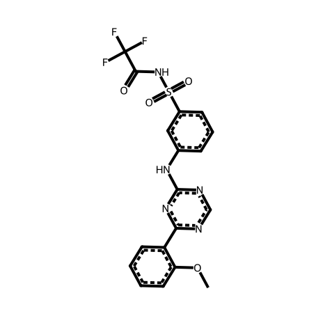 COc1ccccc1-c1ncnc(Nc2cccc(S(=O)(=O)NC(=O)C(F)(F)F)c2)n1